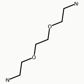 [N]CCOCCOCC[N]